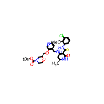 COc1c(Cl)cccc1NC(=S)C1=C(NCc2ccncc2OC[C@@H]2CN(C(=O)OC(C)(C)C)CCO2)C[C@@H](C)NC1=O